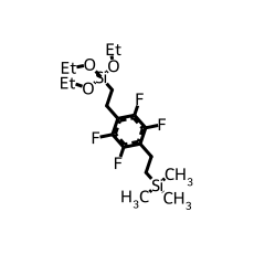 CCO[Si](CCc1c(F)c(F)c(CC[Si](C)(C)C)c(F)c1F)(OCC)OCC